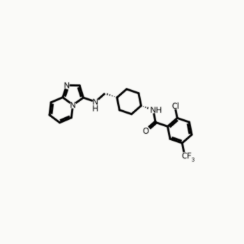 O=C(N[C@H]1CC[C@@H](CNc2cnc3ccccn23)CC1)c1cc(C(F)(F)F)ccc1Cl